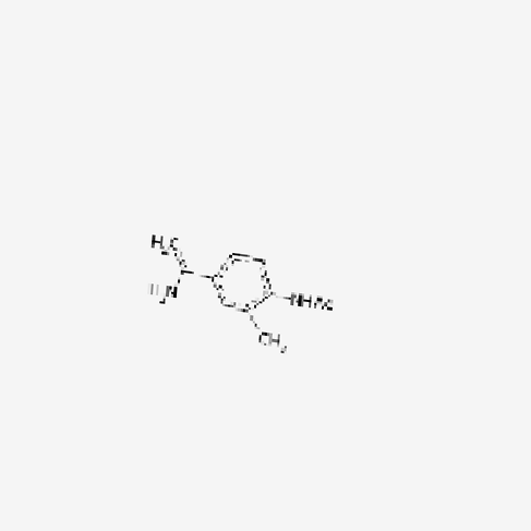 C=C(N)c1ccc(NC(C)=O)c(C)c1